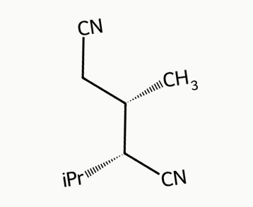 CC(C)[C@@H](C#N)[C@@H](C)CC#N